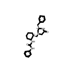 O=C1CN(C[C@@H]2CCCC[C@H]2NC(=O)Nc2ccccc2)C[C@@H](Cc2ccccc2)N1